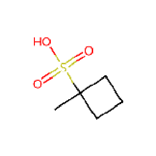 CC1(S(=O)(=O)O)CCC1